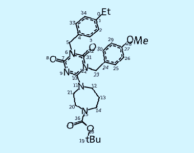 CCc1ccc(Cn2c(=O)nc(N3CCCN(C(=O)OC(C)(C)C)CC3)n(Cc3ccc(OC)cc3)c2=O)cc1